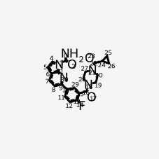 NC(=O)n1ccc2ccc(-c3ccc(F)c(C(=O)N4CCN(C(=O)C5CC5)CC4)c3)nc21